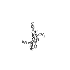 C#Cc1cccc([C@H]2CCON2c2cc(Nc3cc(NC(=O)C=C)c(N4CCC(N5CCN(C6CCC6)CC5)CC4)cc3OC)ncn2)c1